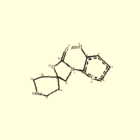 COc1ccccc1N1CC2(CCNCC2)OC1=O